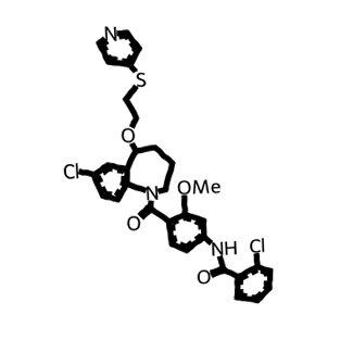 COc1cc(NC(=O)c2ccccc2Cl)ccc1C(=O)N1CCCC(OCCSc2ccncc2)c2cc(Cl)ccc21